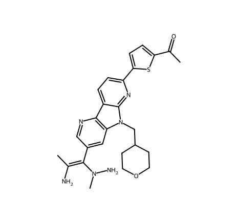 CC(=O)c1ccc(-c2ccc3c4ncc(/C(=C(\C)N)N(C)N)cc4n(CC4CCOCC4)c3n2)s1